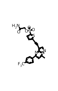 Cc1cc(-c2ccc(C(F)(F)F)cc2)nc2c(C#Cc3ccc(S(=O)(=O)OCC(N)=O)s3)cnn12